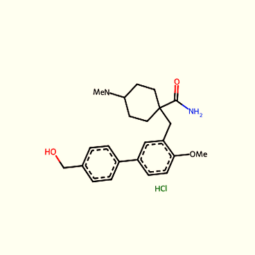 CNC1CCC(Cc2cc(-c3ccc(CO)cc3)ccc2OC)(C(N)=O)CC1.Cl